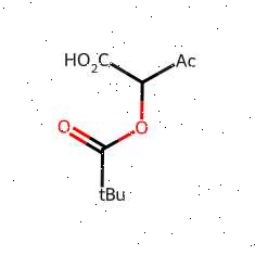 CC(=O)C(OC(=O)C(C)(C)C)C(=O)O